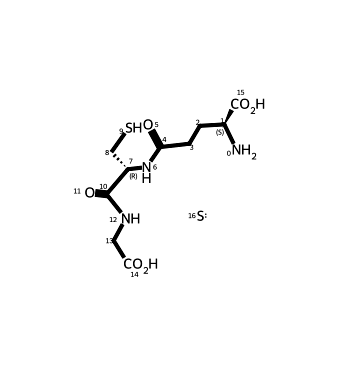 N[C@@H](CCC(=O)N[C@@H](CS)C(=O)NCC(=O)O)C(=O)O.[S]